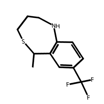 CC1SCCCNc2ccc(C(F)(F)F)cc21